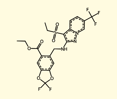 CCOC(=O)c1cc2c(cc1CNc1nn3cc(C(F)(F)F)ccc3c1S(=O)(=O)CC)OC(F)(F)O2